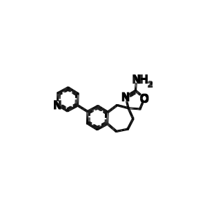 NC1=NC2(CCCc3ccc(-c4cccnc4)cc3C2)CO1